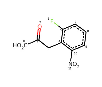 O=C(O)C(=O)Cc1c(F)cccc1[N+](=O)[O-]